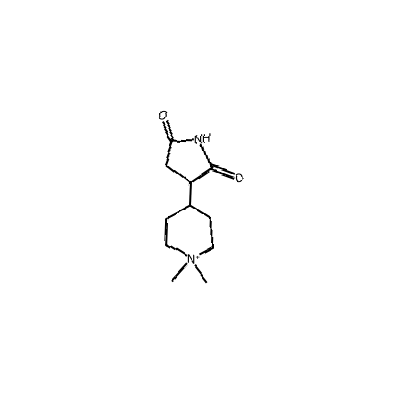 C[N+]1(C)CCC(C2CC(=O)NC2=O)CC1